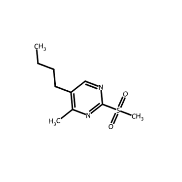 CCCCc1cnc(S(C)(=O)=O)nc1C